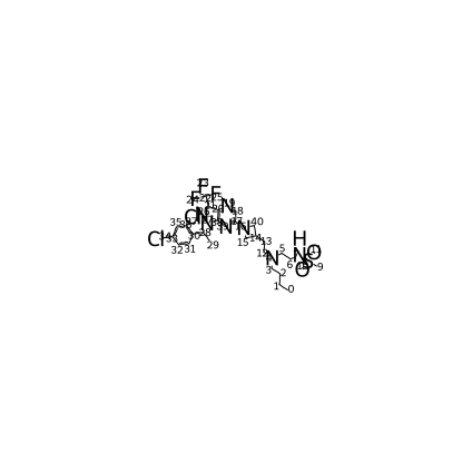 CCCCN(CCNS(C)(=O)=O)CCC1CN(c2cnc3c(C(F)(F)F)nn(C(C)c4ccc(Cl)cc4Cl)c3n2)C1